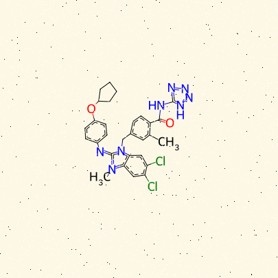 Cc1cc(Cn2c(=Nc3ccc(OC4CCCC4)cc3)n(C)c3cc(Cl)c(Cl)cc32)ccc1C(=O)Nc1nnn[nH]1